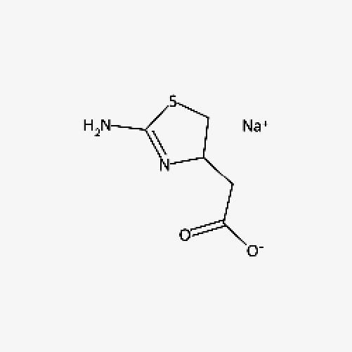 NC1=NC(CC(=O)[O-])CS1.[Na+]